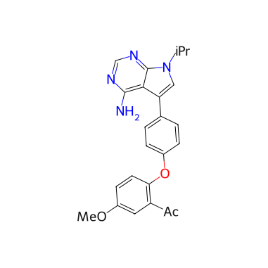 COc1ccc(Oc2ccc(-c3cn(C(C)C)c4ncnc(N)c34)cc2)c(C(C)=O)c1